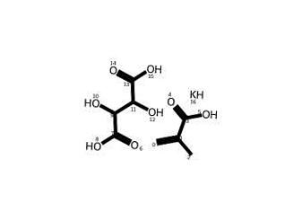 C=C(C)C(=O)O.O=C(O)C(O)C(O)C(=O)O.[KH]